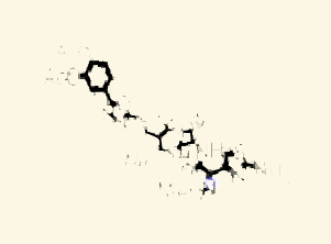 CO/N=C(\C(=O)N[C@@H]1C(=O)N2C(C(=O)[O-])=C(CSc3nnc(-c4ccc(OC(C)=O)c(OC(C)=O)c4)o3)CS[C@H]12)c1csc(N)n1.[Na+]